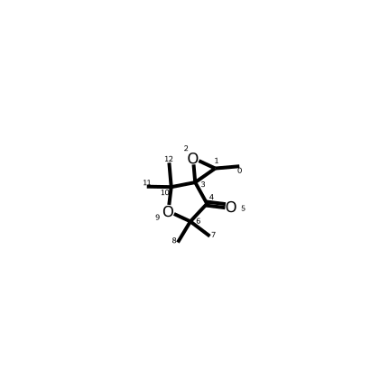 CC1OC12C(=O)C(C)(C)OC2(C)C